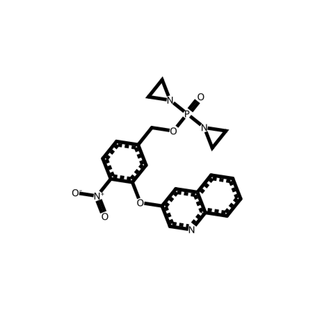 O=[N+]([O-])c1ccc(COP(=O)(N2CC2)N2CC2)cc1Oc1cnc2ccccc2c1